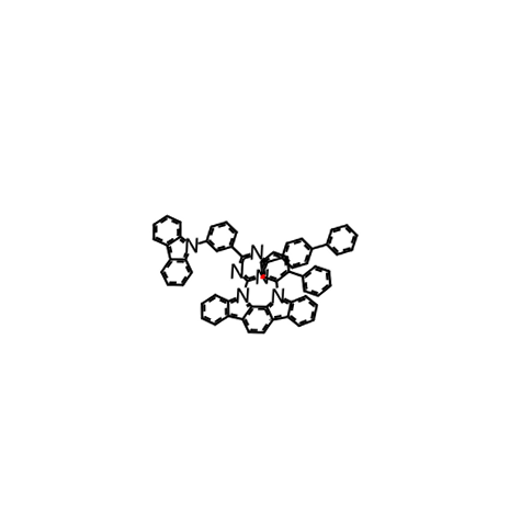 c1ccc(-c2ccc(-c3nc(-c4cccc(-n5c6ccccc6c6ccccc65)c4)nc(-n4c5ccccc5c5ccc6c7ccccc7n(-c7ccccc7-c7ccccc7)c6c54)n3)cc2)cc1